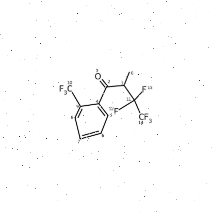 CC(C(=O)c1ccccc1C(F)(F)F)C(F)(F)C(F)(F)F